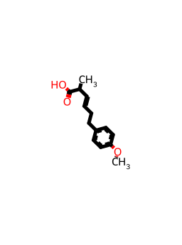 COc1ccc(CC/C=C/C(C)C(=O)O)cc1